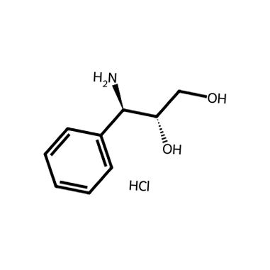 Cl.N[C@H](c1ccccc1)[C@@H](O)CO